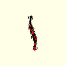 C=C(C)C(=O)OCCCCCCOc1ccc(C(=O)Oc2ccc(S(=O)(=O)c3ccc(OC(=O)c4ccc(OCCCCCCOC(=O)C(=C)C)cc4F)cc3)cc2)c(F)c1